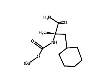 CC(C)(C)OC(=O)N[C@@](C)(CC1CCCCC1)C(N)=O